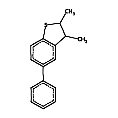 CC1Sc2ccc(-c3ccccc3)cc2C1C